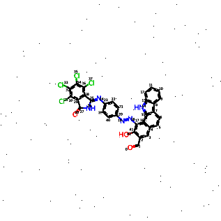 O=Cc1cc2ccc3c4ccccc4[nH]c3c2c(N=Nc2ccc(/N=C3\NC(=O)c4c(Cl)c(Cl)c(Cl)c(Cl)c43)cc2)c1O